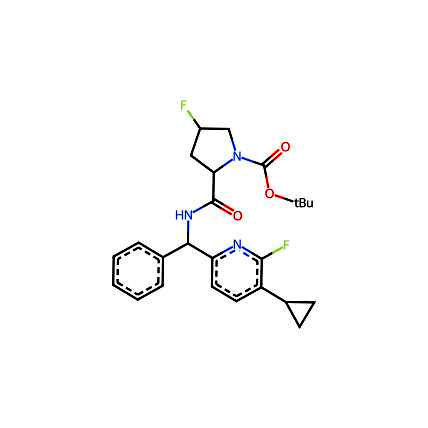 CC(C)(C)OC(=O)N1CC(F)CC1C(=O)NC(c1ccccc1)c1ccc(C2CC2)c(F)n1